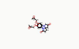 O=C1CN(c2ccc(OCC3CO3)cc2)C2(CCC(=O)N2c2ccc(OCC3CO3)cc2)C1